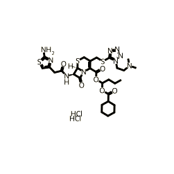 CCCC(OC(=O)C1=C(CSc2nnnn2CCN(C)C)CS[C@@H]2[C@H](NC(=O)Cc3csc(N)n3)C(=O)N12)OC(=O)C1CCCCC1.Cl.Cl